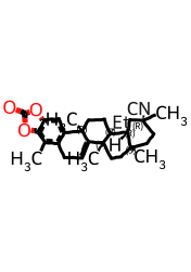 CC[C@@]12CC[C@]3(C)C(=CCc4c3cc3oc(=O)oc3c4C)[C@@]1(C)CC[C@@]1(C)CC[C@@](C)(C#N)C[C@H]12